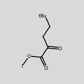 CC(C)(C)CCC(=O)C(=O)OI